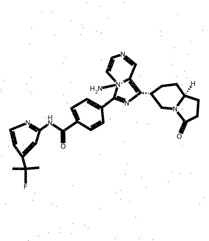 CC(C)(F)c1ccnc(NC(=O)c2ccc(C3=NC([C@@H]4CC[C@H]5CCC(=O)N5C4)=C4C=NC=C[N+]34N)cc2)c1